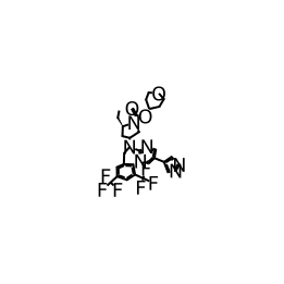 CC[C@@H]1C[C@H](N(Cc2cc(C(F)(F)F)cc(C(F)(F)F)c2)c2ncc(-c3cnn(C)c3)cn2)CN1C(=O)OC1CCOCC1